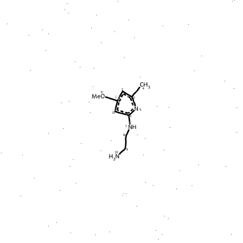 COc1cc(C)nc(NCCN)c1